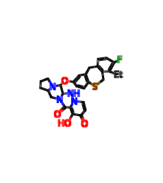 CCc1c(F)ccc2c1CSc1ccc(OC3C4Nn5ccc(=O)c(O)c5C(=O)N4CC4CCCN43)cc1C2